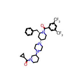 O=C(C1CC1)N1CCCC(N2CCN([C@H]3CCN(C(=O)c4cc(C(F)(F)F)cc(C(F)(F)F)c4)[C@H](Cc4ccccc4)C3)CC2)C1